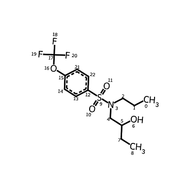 CCCN(CC(O)CC)S(=O)(=O)c1ccc(OC(F)(F)F)cc1